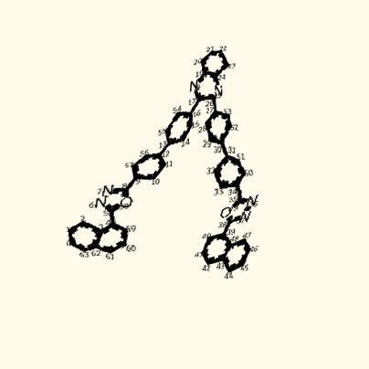 c1ccc2c(-c3nnc(-c4ccc(-c5ccc(-c6nc7ccccc7nc6-c6ccc(-c7ccc(-c8nnc(-c9cccc%10ccccc9%10)o8)cc7)cc6)cc5)cc4)o3)cccc2c1